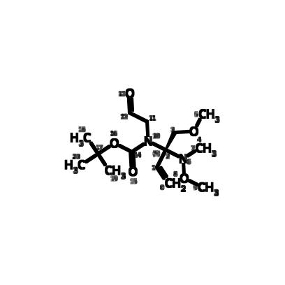 C=C[C@@](COC)(N(C)OC)N(CC=O)C(=O)OC(C)(C)C